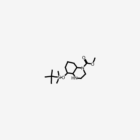 COC(=O)N1CCNC2C(O[Si](C)(C)C(C)(C)C)CCCC21